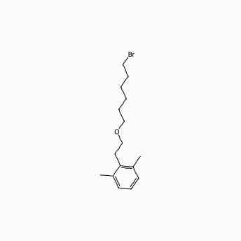 Cc1cccc(C)c1CCOCCCCCCBr